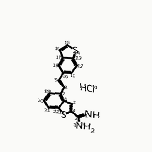 Cl.N=C(N)c1cc2c(/C=C/c3ccc4sccc4c3)cccc2s1